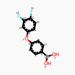 OB(O)c1ccc(Oc2ccc(F)c(F)c2)cc1